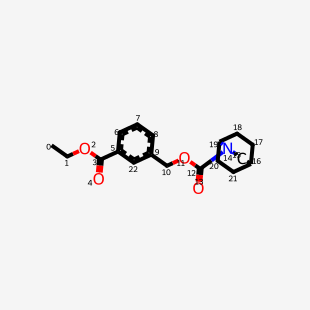 CCOC(=O)c1cccc(COC(=O)N2CC3CCC2CC3)c1